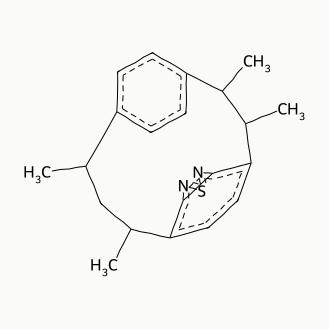 CC1CC(C)c2ccc(c3nsnc23)C(C)C(C)c2ccc1cc2